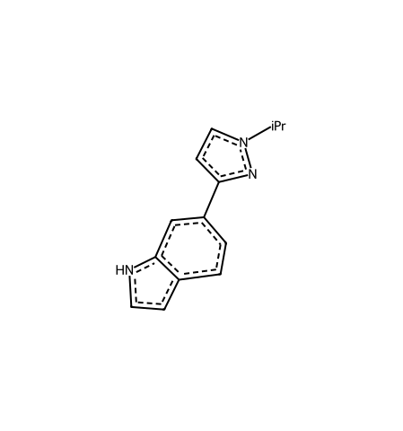 CC(C)n1ccc(-c2ccc3cc[nH]c3c2)n1